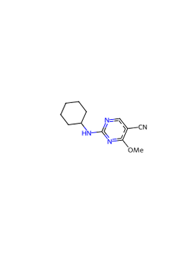 COc1nc(NC2CCCCC2)ncc1C#N